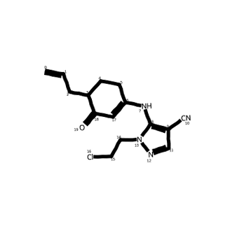 C=CCC1CCC(Nc2c(C#N)cnn2CCCl)=CC1=O